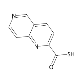 O=C(S)c1ccc2cnccc2n1